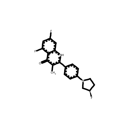 Cc1c(-c2ccc(N3CC[C@@H](F)C3)cc2)[nH]c2cc(F)cc(F)c2c1=O